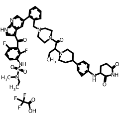 CCC(C(=O)N1CCN(Cc2ccccc2-c2cnc3[nH]cc(C(=O)c4c(F)ccc(NS(=O)(=O)N(C)CC)c4F)c3c2)CC1)N1CCC(c2ccc(NC3CCC(=O)NC3=O)cc2)CC1.O=C(O)C(F)(F)F